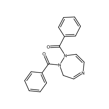 O=C(c1ccccc1)N1C=CN=CCN1C(=O)c1ccccc1